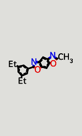 CCc1cc(CC)cc(-c2nc3cc4nc(C)oc4cc3o2)c1